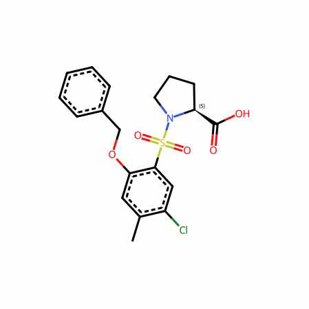 Cc1cc(OCc2ccccc2)c(S(=O)(=O)N2CCC[C@H]2C(=O)O)cc1Cl